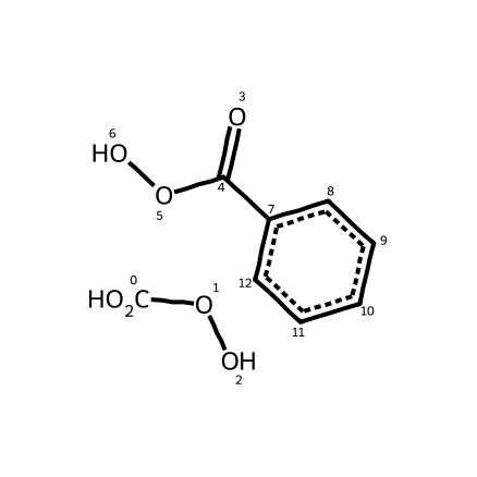 O=C(O)OO.O=C(OO)c1ccccc1